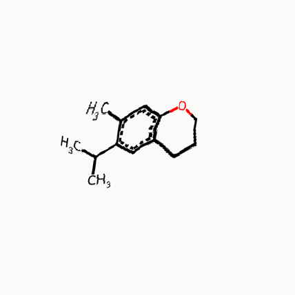 Cc1cc2c(cc1C(C)C)CCCO2